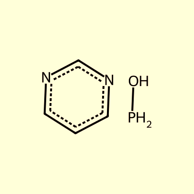 OP.c1cncnc1